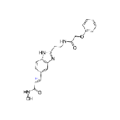 O=C(/C=C/c1ccc2[nH]c(CCNC(=O)COc3ccccc3)nc2c1)NO